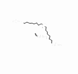 C=CCCCCCCC.CCCCCCCCCCCCCCCCCC[N+](C)(C)CCCCCCCCCCCCCCCCCC